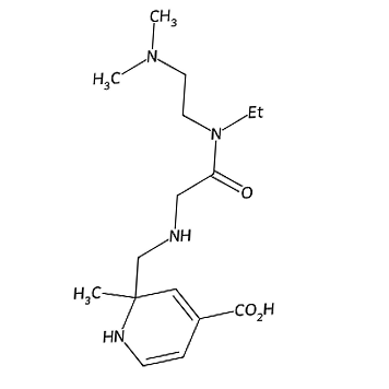 CCN(CCN(C)C)C(=O)CNCC1(C)C=C(C(=O)O)C=CN1